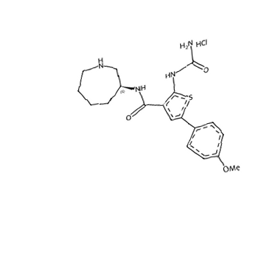 COc1ccc(-c2cc(C(=O)N[C@H]3CCCCNC3)c(NC(N)=O)s2)cc1.Cl